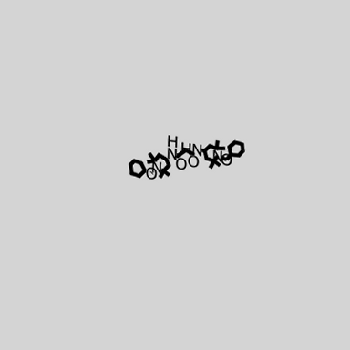 CC1(C)CC(NC(=O)CC(=O)NC2CC(C)(C)N(OC3CCCCC3)C(C)(C)C2)CC(C)(C)N1OC1CCCCC1